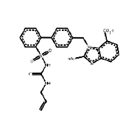 C=CCNC(=O)NS(=O)(=O)c1ccccc1-c1ccc(Cn2c(CCCC)nc3cccc(C(=O)O)c32)cc1